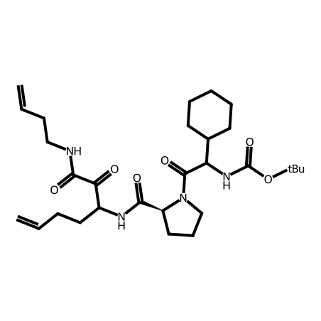 C=CCCNC(=O)C(=O)C(CCC=C)NC(=O)[C@@H]1CCCN1C(=O)C(NC(=O)OC(C)(C)C)C1CCCCC1